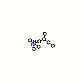 c1ccc(-c2ccc(-c3cc(-c4ccccc4)cc(-c4ccc(-c5nc(-c6ccccc6)nc(-c6ccccc6)c5-c5ccccc5)cc4)c3)cc2)cc1